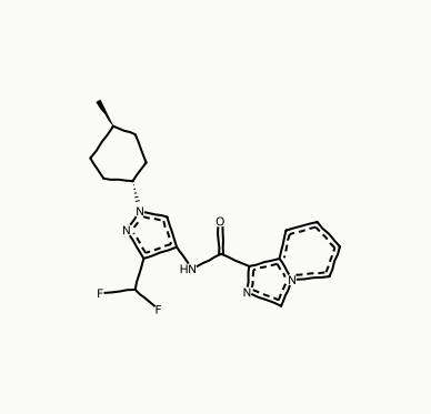 C[C@H]1CC[C@H](n2cc(NC(=O)c3ncn4ccccc34)c(C(F)F)n2)CC1